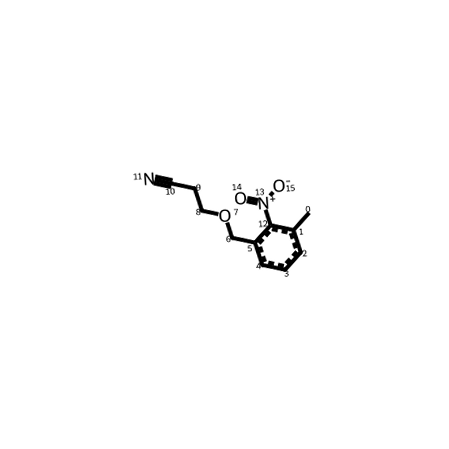 Cc1cccc(COCCC#N)c1[N+](=O)[O-]